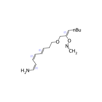 C=NO/C(=C\CCCC)COCC/C=C/C=C\C=C/N